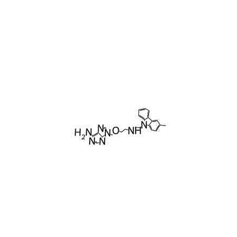 Cc1ccc2c(c1)c1ccccc1n2CCNCCOCn1cnc2c(N)ncnc21